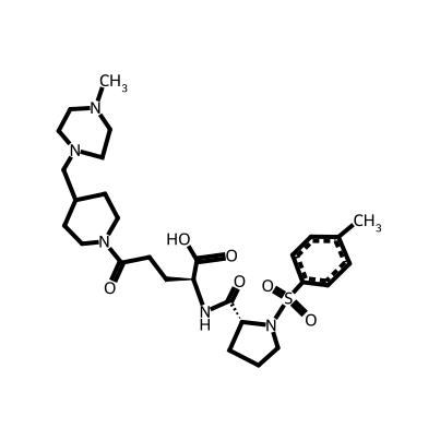 Cc1ccc(S(=O)(=O)N2CCC[C@@H]2C(=O)N[C@@H](CCC(=O)N2CCC(CN3CCN(C)CC3)CC2)C(=O)O)cc1